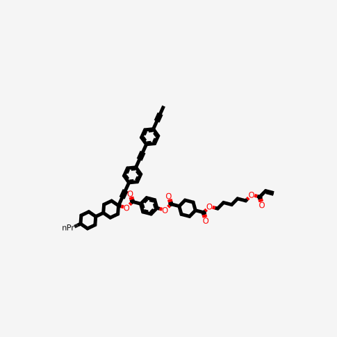 C=CC(=O)OCCCCCOC(=O)C1CCC(C(=O)Oc2ccc(C(=O)OC3(C#Cc4ccc(C#Cc5ccc(C#CC)cc5)cc4)CCC(C4CCC(CCC)CC4)CC3)cc2)CC1